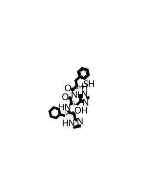 O=C(NC(=O)[C@H](Cc1c[nH]cn1)N[C@@H](CC1CCCCC1)[C@@H](O)c1ncc[nH]1)[C@@H](CS)Cc1ccccc1